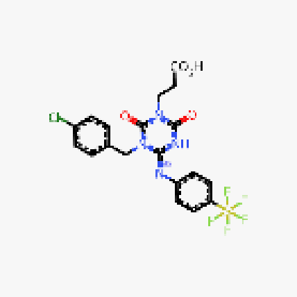 O=C(O)CCn1c(=O)[nH]/c(=N\c2ccc(S(F)(F)(F)(F)F)cc2)n(Cc2ccc(Cl)cc2)c1=O